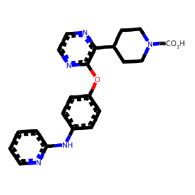 O=C(O)N1CCC(c2nccnc2Oc2ccc(Nc3ccccn3)cc2)CC1